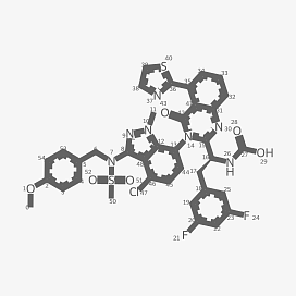 COc1ccc(CN(c2nn(C)c3c(-n4c([C@H](Cc5cc(F)cc(F)c5)NC(=O)O)nc5cccc(-c6nccs6)c5c4=O)ccc(Cl)c23)S(C)(=O)=O)cc1